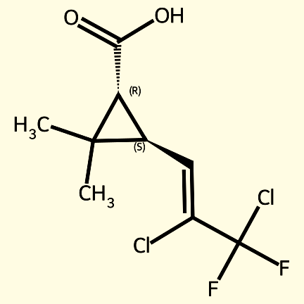 CC1(C)[C@H](C=C(Cl)C(F)(F)Cl)[C@H]1C(=O)O